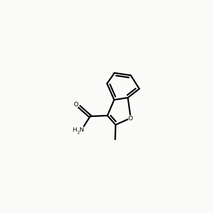 Cc1oc2cc[c]cc2c1C(N)=O